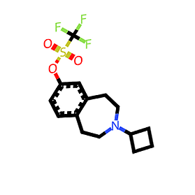 O=S(=O)(Oc1ccc2c(c1)CCN(C1CCC1)CC2)C(F)(F)F